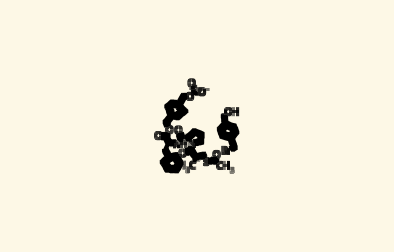 CC(=O)SC[C@@H](C)C(=O)N1CCC[C@H]1C(=O)N[C@@H](Cc1ccccc1)C(=O)OCc1ccc(CO[N+](=O)[O-])cc1.OCc1ccc(CBr)cc1